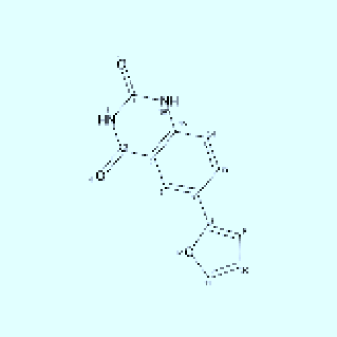 O=c1[nH]c(=O)c2cc(-c3ccco3)ccc2[nH]1